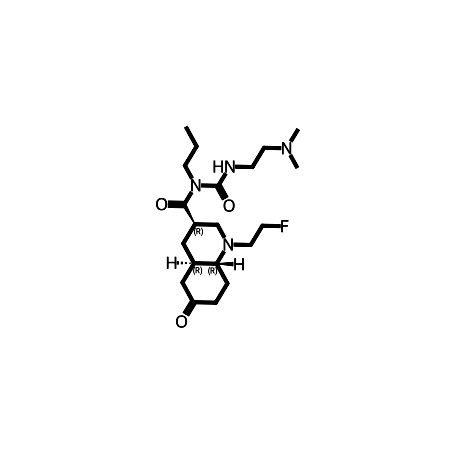 CCCN(C(=O)NCCN(C)C)C(=O)[C@@H]1C[C@@H]2CC(=O)CC[C@H]2N(CCF)C1